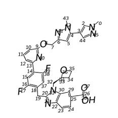 Cn1cc(-c2cc(COc3cccc(-c4cc(F)c(Cc5nc6ccc(C(=O)O)cc6n5C[C@@H]5CCO5)cc4F)n3)nn2C)cn1